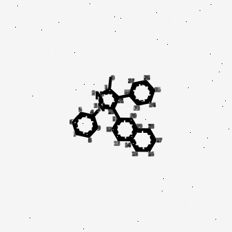 Cc1nn(-c2ccccc2)c(-c2ccc3ccccc3c2)c1-c1ccccc1